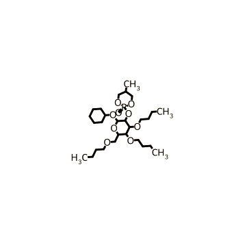 CCCCOCC1OC(OC2CCCCC2)C(OP2(=O)OCC(C)CO2)C(OCCCC)C1OCCCC